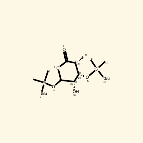 CC(C)(C)[Si](C)(C)OC1OC(=O)[C@H](F)[C@H](O[Si](C)(C)C(C)(C)C)[C@@H]1O